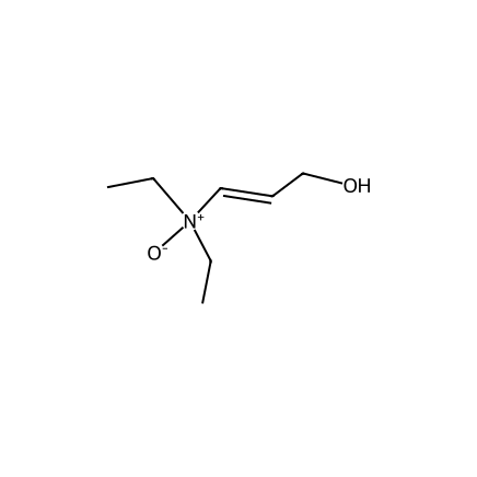 CC[N+]([O-])(/C=C/CO)CC